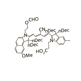 CCCCCCCCCCC1(CCCCCCCCCC)C(/C=C/C(C#N)=C/C=C2/N(CCOC=O)c3ccc4ccc(OC)cc4c3C2(CCCCCCCCCC)CCCCCCCCCC)=[N+](CCC(=O)O)c2ccc(C)cc21